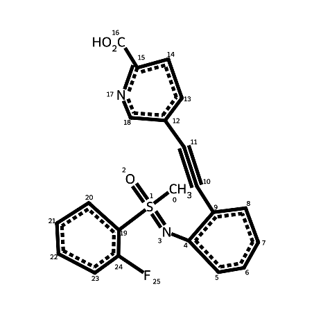 CS(=O)(=Nc1ccccc1C#Cc1ccc(C(=O)O)nc1)c1ccccc1F